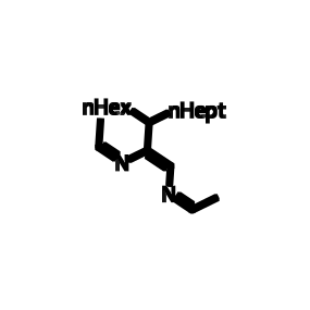 C\C=N/C=C(\N=C/C)C(CCCCCC)CCCCCCC